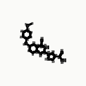 COc1ccc(Oc2ccc3nc(-n4cc(C(=O)O)cn4)[nH]c(=O)c3c2)cc1